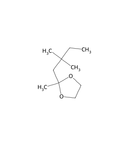 CCC(C)(C)CC1(C)OCCO1